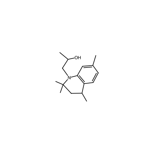 Cc1ccc2c(c1)N(CC(C)O)C(C)(C)CC2C